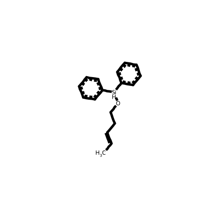 C/C=C/CCO[SiH](c1ccccc1)c1ccccc1